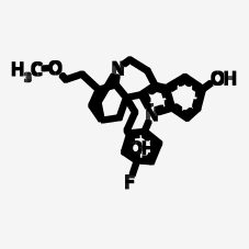 COCCC1CC2CN3CCc4c(n(-c5ccc(F)cc5)c5ccc(O)cc45)C(CCO)(C2)C13